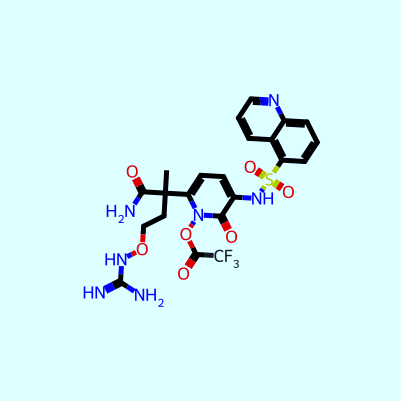 CC(CCONC(=N)N)(C(N)=O)c1ccc(NS(=O)(=O)c2cccc3ncccc23)c(=O)n1OC(=O)C(F)(F)F